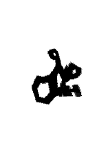 O=C1NC2=C(CCCC2)C1=O